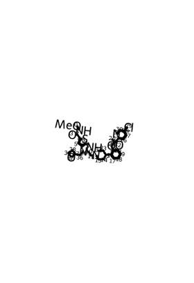 CONC(=O)c1cc2c(s1)NC(CN1CCC(c3cccc4c3OC(C)(c3ccc(Cl)cn3)O4)CC1)N2CC1CCO1